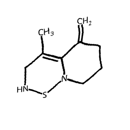 C=C1CCCN2SNCC(C)=C12